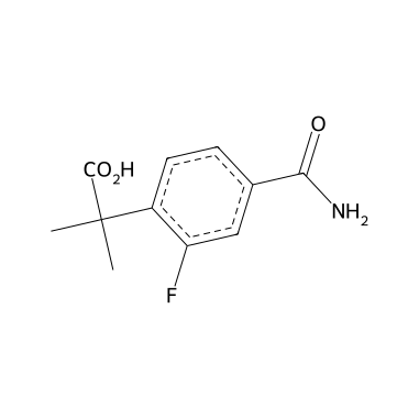 CC(C)(C(=O)O)c1ccc(C(N)=O)cc1F